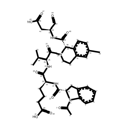 CC(=O)N1c2ccccc2C[C@H]1C(=O)N[C@@H](CCCC(=O)O)C(=O)N[C@H](C(=O)N1CCc2cc(C)ccc2[C@H]1C(=O)N[C@H](C=O)CC(=O)O)C(C)C